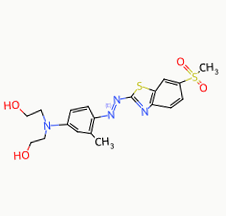 Cc1cc(N(CCO)CCO)ccc1/N=N/c1nc2ccc(S(C)(=O)=O)cc2s1